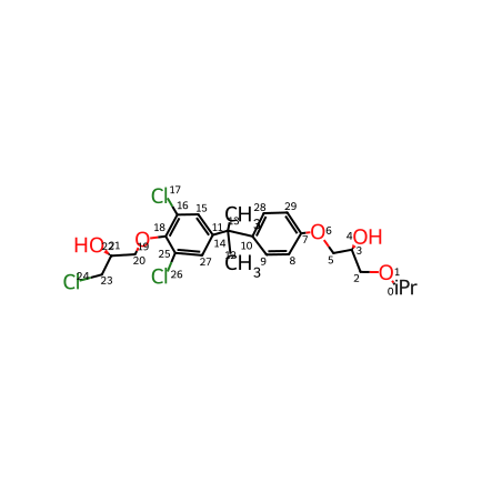 CC(C)OC[C@H](O)COc1ccc(C(C)(C)c2cc(Cl)c(OC[C@H](O)CCl)c(Cl)c2)cc1